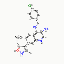 COc1cc2c(NCc3ccc(Cl)cc3)c(N)cnc2cc1-c1c(C)noc1C